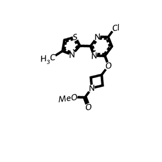 COC(=O)N1CC(Oc2cc(Cl)nc(-c3nc(C)cs3)n2)C1